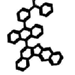 [O-][S+](c1ccccc1)c1cccc(-c2c3ccccc3c(-c3cc4ccccc4c4c3oc3cc5ccccc5cc34)c3ccccc23)c1